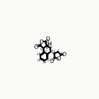 O=C1C[C@@H](C2C[C@H]3C(=O)OC(=O)C3c3ccccc32)C(=O)O1